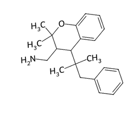 CC(C)(Cc1ccccc1)C1c2ccccc2OC(C)(C)C1CN